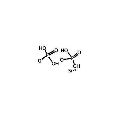 O=P([O-])(O)O.O=P([O-])(O)O.[Sr+2]